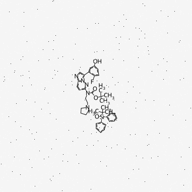 CC(C)(C)OC(=O)N(CCN1CCC[C@H]1CO[Si](c1ccccc1)(c1ccccc1)C(C)(C)C)c1ccc2ncc(-c3cc(O)ccc3F)n2n1